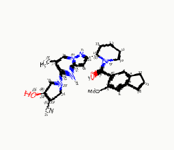 COc1cc2c(cc1C(=O)N1CCCC[C@H]1c1cc3nc(N4C[C@@H](C#N)[C@@H](O)C4)c(C)cn3n1)CCC2